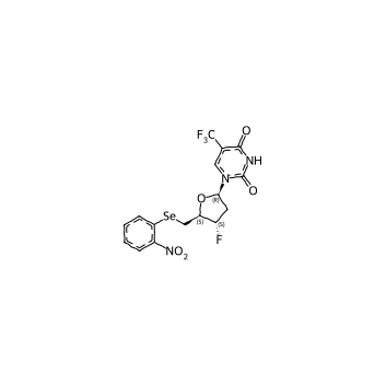 O=c1[nH]c(=O)n([C@H]2C[C@H](F)[C@@H](C[Se]c3ccccc3[N+](=O)[O-])O2)cc1C(F)(F)F